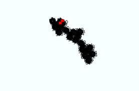 c1ccc(-n2c3ccccc3c3ccc4c5ccccc5n5c(-c6ccc(-n7c8ccccc8c8c9c(ccc87)c7ccccc7n7cc8c(-c%10ccc%11sc%12c(ccc%13c%14ccc%15c%16ccccc%16n(-c%16ccccc%16)c%15c%14n%14cc%15ccccc%15c%14c%13%12)c%11c%10)cccc8c97)cc6)c6ccccc6c5c4c32)cc1